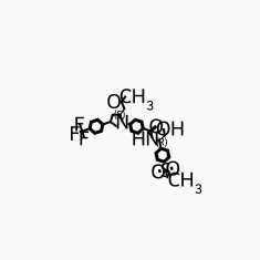 CCS(=O)(=O)c1ccc([C@H](CO)NC(=O)c2ccc(N3CC(c4ccc(C(F)(F)F)cc4)C[C@H]3CC(C)=O)cc2)cc1